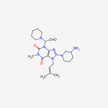 CC(C)=CCn1c(N2CCCC(N)C2)nc2c1c(=O)n(C)c(=O)n2C(C=O)N1CCCCC1